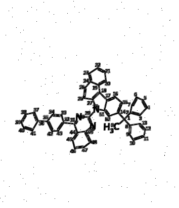 CC(c1ccccc1)(c1ccccc1)c1ccc2c3c4ccccc4ccc3n(-c3nc(-c4ccc(-c5ccccc5)cc4)c4ccccc4n3)c2c1